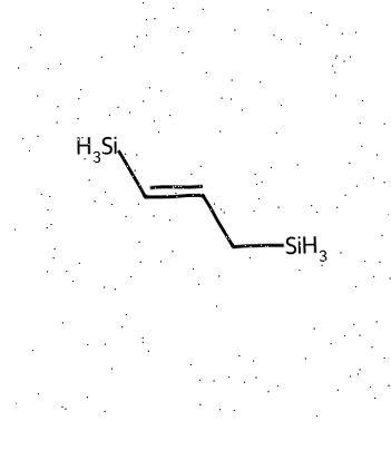 [SiH3]C=CC[SiH3]